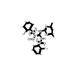 CO[N+](=C(Nc1nc(C)cc(C)n1)NS(=O)(=O)c1ccccc1F)S(=O)(=O)c1ccccc1F